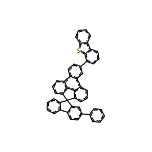 c1ccc(-c2ccc3c(c2)C2(c4ccccc4-3)c3cccc4c5ccc(-c6cccc7c6sc6ccccc67)cc5c5cccc2c5c34)cc1